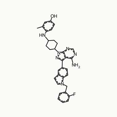 Cc1cc(O)ccc1NC1CCC(n2nc(-c3ccc4c(ccn4Cc4ccccc4F)c3)c3c(N)ncnc32)CC1